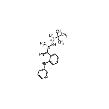 C[C@H](N[S@+]([O-])C(C)(C)C)C(=N)c1ccccc1Nc1cccnc1